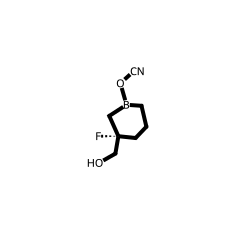 N#COB1CCC[C@@](F)(CO)C1